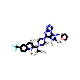 Cc1nc2c(N3C[C@@H](C)N([C@H](c4ccc5cc(C(F)(F)F)ccc5n4)C(C)C)C[C@@H]3C)nc3nncn3c2n1C[C@@H]1CCCO1